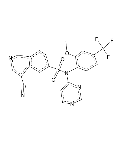 COc1cc(C(F)(F)F)ccc1N(c1ccncn1)S(=O)(=O)c1ccc2cncc(C#N)c2c1